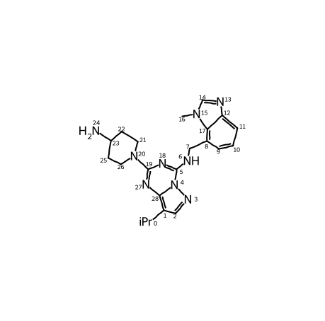 CC(C)c1cnn2c(NCc3cccc4ncn(C)c34)nc(N3CCC(N)CC3)nc12